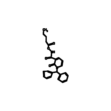 CCCCC(=O)ONC(=O)c1cccn(C(c2ccccc2)c2ccccc2)c1=O